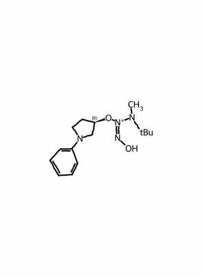 CN([N+](=NO)O[C@@H]1CCN(c2ccccc2)C1)C(C)(C)C